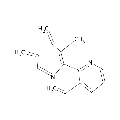 C=C/C=N\C(=C(\C)C=C)c1ncccc1C=C